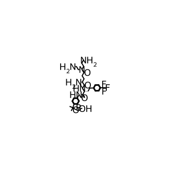 CC1(C)OB(O)c2cc(NC(=O)[C@@H](CCc3ccc(C(F)(F)F)cc3)NC(=O)[C@@H](N)CCC(=O)N(CCN)CCN)ccc21